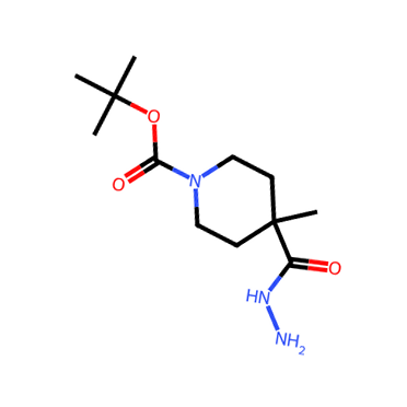 CC(C)(C)OC(=O)N1CCC(C)(C(=O)NN)CC1